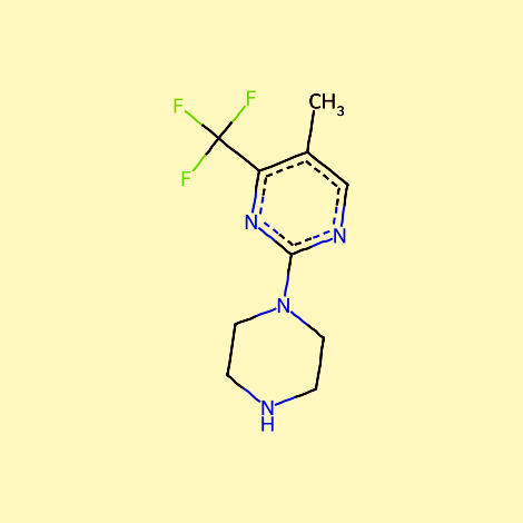 Cc1cnc(N2CCNCC2)nc1C(F)(F)F